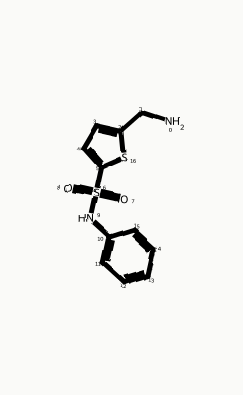 NCc1ccc(S(=O)(=O)Nc2ccccc2)s1